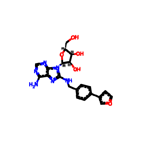 Nc1ncnc2c1nc(NCc1ccc(-c3ccoc3)cc1)n2[C@@H]1O[C@H](CO)[C@@H](O)[C@H]1O